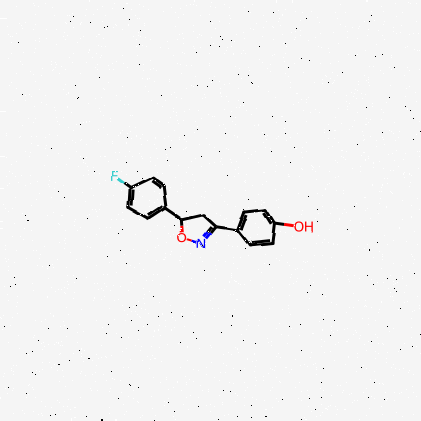 Oc1ccc(C2=NOC(c3ccc(F)cc3)C2)cc1